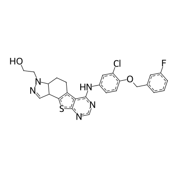 OCCN1N=CC2c3sc4ncnc(Nc5ccc(OCc6cccc(F)c6)c(Cl)c5)c4c3CCC21